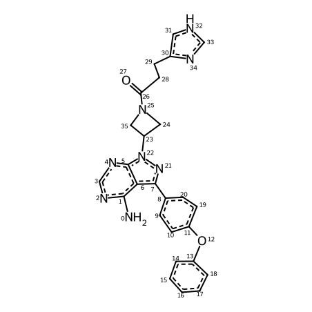 Nc1ncnc2c1c(-c1ccc(Oc3ccccc3)cc1)nn2C1CN(C(=O)CCc2c[nH]cn2)C1